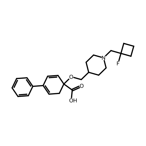 O=C(O)C1(OCC2CCN(CC3(F)CCC3)CC2)C=CC(c2ccccc2)=CC1